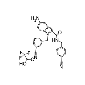 N#Cc1ccc(CNC(=O)c2cc3cc(N)ccc3n2Cc2cccc(C#N)c2)cc1.O=C(O)C(F)(F)F